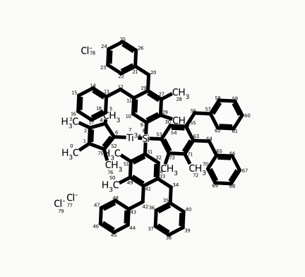 CC1=C(C)C(C)[C]([Ti+3][Si](c2cc(Cc3ccccc3)c(Cc3ccccc3)c(C)c2C)(c2cc(Cc3ccccc3)c(Cc3ccccc3)c(C)c2C)c2cc(Cc3ccccc3)c(Cc3ccccc3)c(C)c2C)=C1C.[Cl-].[Cl-].[Cl-]